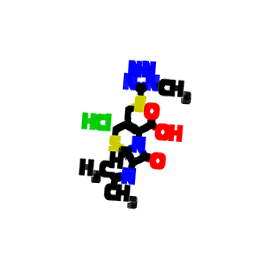 CC(C)=NC1C(=O)N2C(C(=O)O)=C(CSc3nnnn3C)CS[C@H]12.Cl